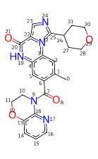 Cc1cc2c(cc1C(=O)N1CCOc3cccnc31)[nH]c(=O)c1cnc(C3CCOCC3)n12